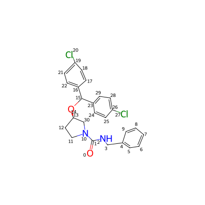 O=C(NCc1ccccc1)N1CC[C@@H](OC(c2ccc(Cl)cc2)c2ccc(Cl)cc2)C1